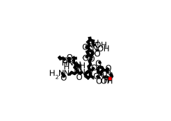 C=CCOC(=O)NC(c1cn(C(CCCNC(N)=O)C(=O)Nc2ccc(COC(=O)N3c4cc(OCCCCCOc5cc6c(cc5OC)C(=O)N5CC(=C)C[C@H]5[C@H](O)N6C(=O)O)c(OC)cc4C(=O)N4CCC(=C)[C@H]4[C@@H]3O)cc2)nn1)C(C)C